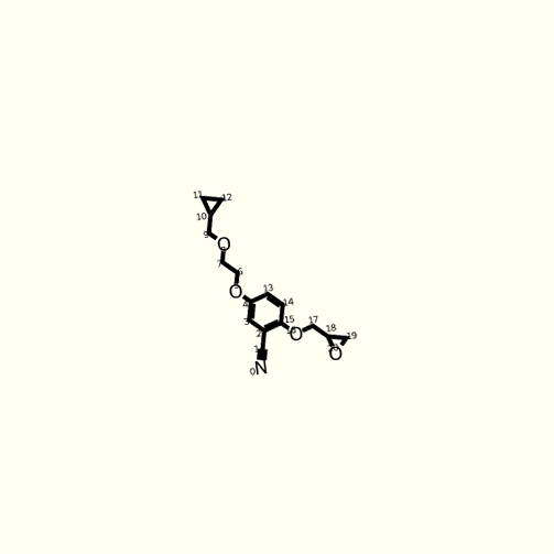 N#Cc1cc(OCCOCC2CC2)ccc1OCC1CO1